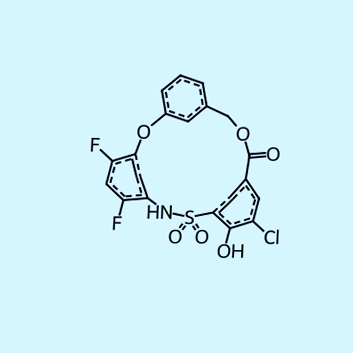 O=C1OCc2cccc(c2)Oc2cc(c(F)cc2F)NS(=O)(=O)c2cc1cc(Cl)c2O